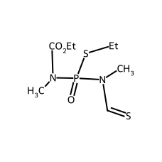 CCOC(=O)N(C)P(=O)(SCC)N(C)C=S